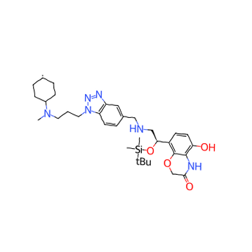 CN(CCCn1nnc2cc(CNC[C@H](O[Si](C)(C)C(C)(C)C)c3ccc(O)c4c3OCC(=O)N4)ccc21)C1CC[CH]CC1